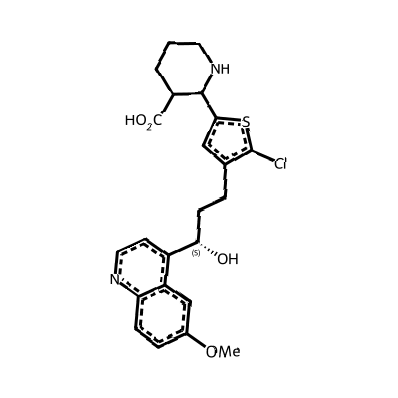 COc1ccc2nccc([C@@H](O)CCc3cc(C4NCCCC4C(=O)O)sc3Cl)c2c1